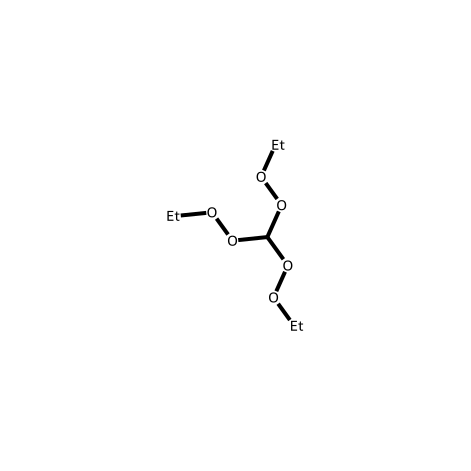 CCOOC(OOCC)OOCC